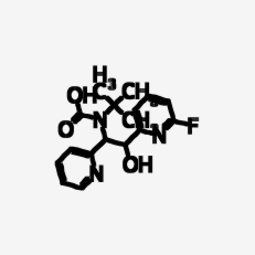 CC(C)(C)N(C(=O)O)C(c1ccccn1)C(O)c1cccc(F)n1